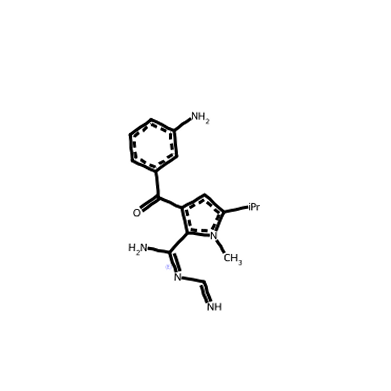 CC(C)c1cc(C(=O)c2cccc(N)c2)c(/C(N)=N\C=N)n1C